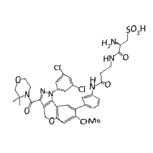 COc1cc2c(cc1-c1cccc(NC(=O)CCNC(=O)[C@@H](N)CS(=O)(=O)O)c1)-c1c(c(C(=O)N3CCOCC3(C)C)nn1-c1cc(Cl)cc(Cl)c1)CO2